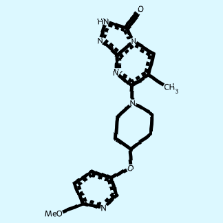 COc1ccc(OC2CCN(c3nc4n[nH]c(=O)n4cc3C)CC2)cn1